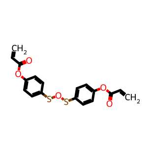 C=CC(=O)Oc1ccc(SOSc2ccc(OC(=O)C=C)cc2)cc1